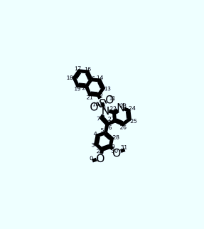 COc1ccc(-c2cn(S(=O)(=O)c3ccc4ccccc4c3)c3ncccc23)cc1OC